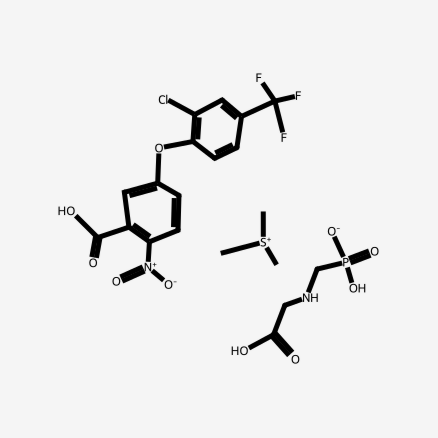 C[S+](C)C.O=C(O)CNCP(=O)([O-])O.O=C(O)c1cc(Oc2ccc(C(F)(F)F)cc2Cl)ccc1[N+](=O)[O-]